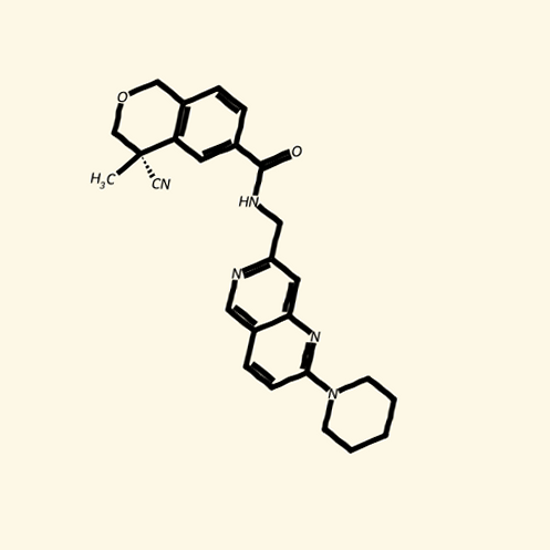 C[C@@]1(C#N)COCc2ccc(C(=O)NCc3cc4nc(N5CCCCC5)ccc4cn3)cc21